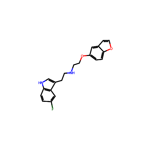 Fc1ccc2[nH]cc(CCNCCOc3ccc4occc4c3)c2c1